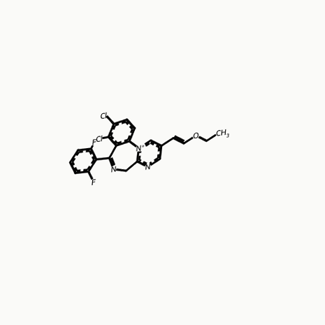 CCO/C=C/c1cnc2[n+](c1)-c1ccc(Cl)c(Cl)c1C(c1c(F)cccc1F)=NC2